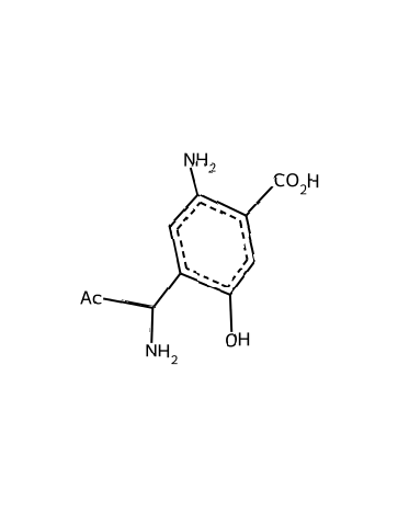 CC(=O)C(N)c1cc(N)c(C(=O)O)cc1O